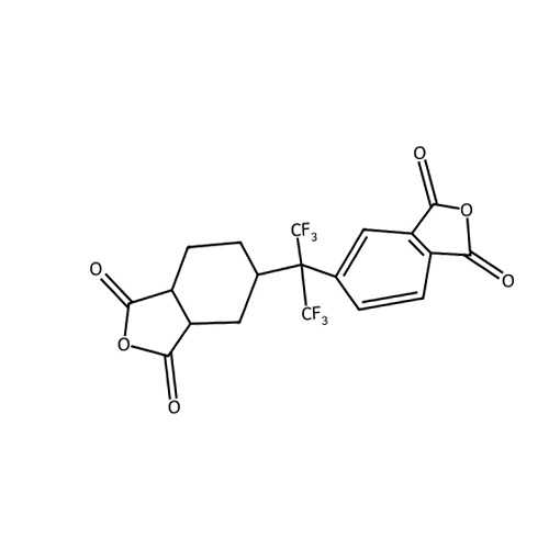 O=C1OC(=O)c2cc(C(C3CCC4C(=O)OC(=O)C4C3)(C(F)(F)F)C(F)(F)F)ccc21